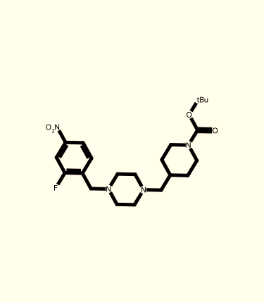 CC(C)(C)OC(=O)N1CCC(CN2CCN(Cc3ccc([N+](=O)[O-])cc3F)CC2)CC1